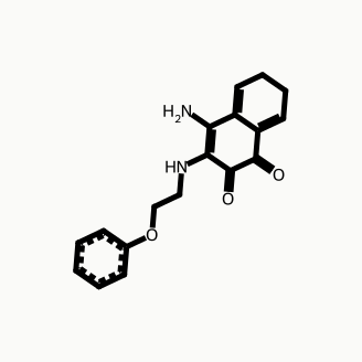 NC1=C(NCCOc2ccccc2)C(=O)C(=O)C2=CCCC=C21